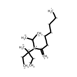 C=C(CCCCCC)N(C(C)C)C(C)(CC)CC